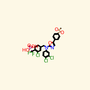 CS(=O)(=O)c1ccc(-c2cnc(N(Cc3ccc(C(F)(F)P(=O)(O)O)c(Cl)c3)c3ccc(Cl)c(Cl)c3)o2)cc1